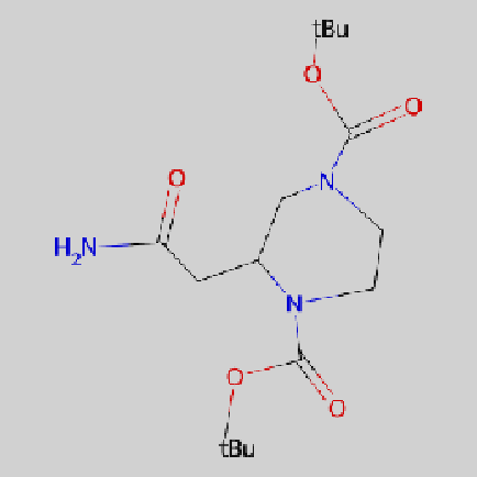 CC(C)(C)OC(=O)N1CCN(C(=O)OC(C)(C)C)C(CC(N)=O)C1